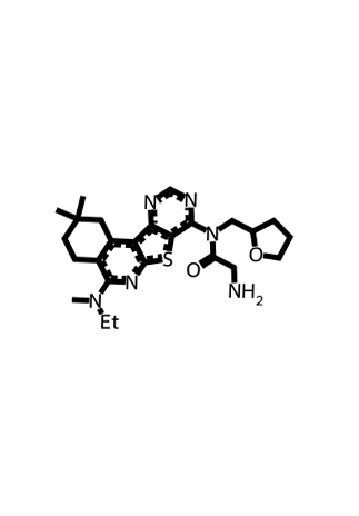 CCN(C)c1nc2sc3c(N(CC4CCCO4)C(=O)CN)ncnc3c2c2c1CCC(C)(C)C2